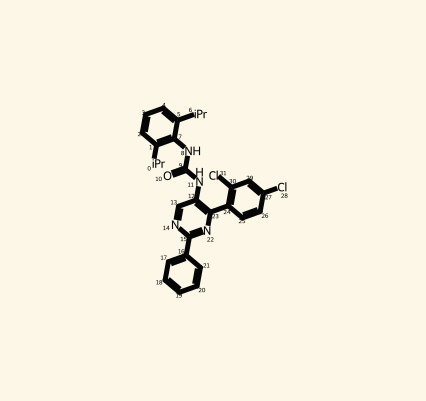 CC(C)c1cccc(C(C)C)c1NC(=O)Nc1cnc(-c2ccccc2)nc1-c1ccc(Cl)cc1Cl